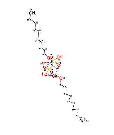 CCCCCCCCCCOC(=O)CC(C(=O)OCCCCCCCCCC)(S(=O)(=O)O)S(=O)(=O)O